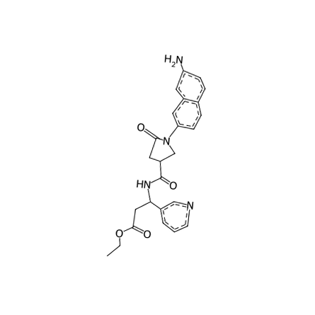 CCOC(=O)CC(NC(=O)C1CC(=O)N(c2ccc3ccc(N)cc3c2)C1)c1cccnc1